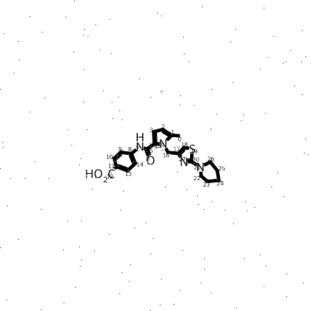 Cc1ccc(C(=O)Nc2ccc(C(=O)O)cc2)n1Cc1csc(N2CCCCC2)n1